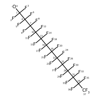 [O]C(F)(F)C(F)(F)C(F)(F)C(F)(F)C(F)(F)C(F)(F)C(F)(F)C(F)(F)C(F)(F)C(F)(F)C(F)(F)C(F)(F)C(F)(F)F